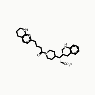 O=C(O)C[C@H](C1CCN(C(=O)CCCc2ccc3c(n2)NCCC3)CC1)[C@H]1CNc2ccccc2C1